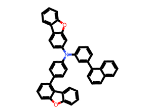 c1cc(-c2cccc3ccccc23)cc(N(c2ccc(-c3cccc4oc5ccccc5c34)cc2)c2ccc3c(c2)oc2ccccc23)c1